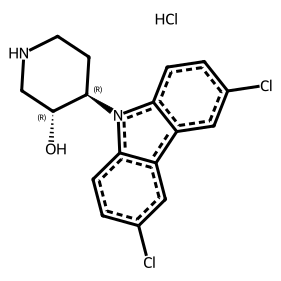 Cl.O[C@@H]1CNCC[C@H]1n1c2ccc(Cl)cc2c2cc(Cl)ccc21